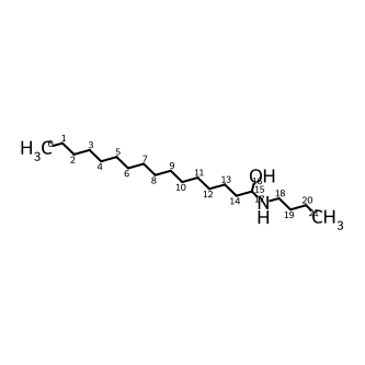 CCCCCCCCCCCCCCCC(O)NCCCC